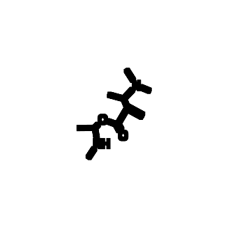 C=C(C(=O)OC(C)NC)C(C)N(C)C